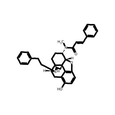 CN(C(=O)C=Cc1ccccc1)[C@H]1CC[C@H]2[C@H]3Cc4c(O)ccc5c4[C@@]2(CCN3CCc2ccccc2)[C@H]1O5